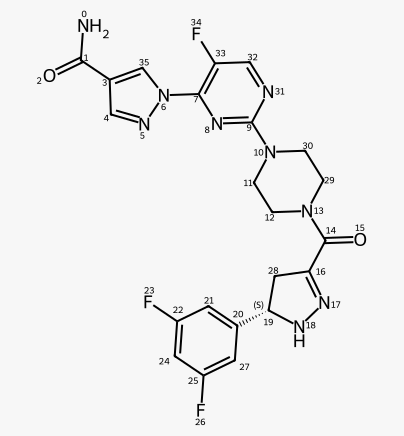 NC(=O)c1cnn(-c2nc(N3CCN(C(=O)C4=NN[C@H](c5cc(F)cc(F)c5)C4)CC3)ncc2F)c1